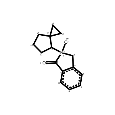 O=C1c2ccccc2C[N+]1([O-])C1CCCC12CC2